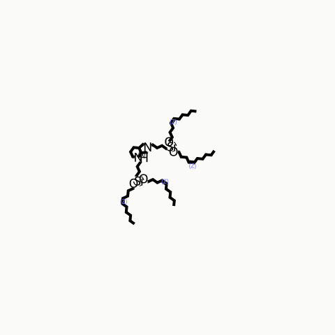 CCCCC/C=C\CCCO[Si](C)(CCCCN1CC2CCCN(CCCC[Si](C)(OCCC/C=C\CCCCC)OCCC/C=C\CCCCC)[C@@H]2C1)OCCC/C=C\CCCCC